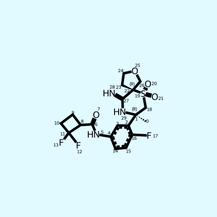 C[C@@]1(c2cc(NC(=O)C3CCC3(F)F)ccc2F)CS(=O)(=O)[C@]2(CCOC2)C(=N)N1